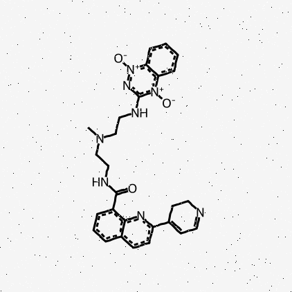 CN(CCNC(=O)c1cccc2ccc(C3=CC=NCC3)nc12)CCNc1n[n+]([O-])c2ccccc2[n+]1[O-]